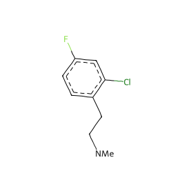 CNCCc1ccc(F)cc1Cl